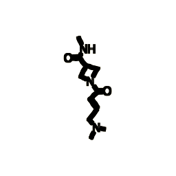 CNC(=O)C1CN(C(=O)C=CCN(C)C)C1